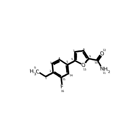 CCc1ccc(-c2ccc(C(N)=O)o2)cc1F